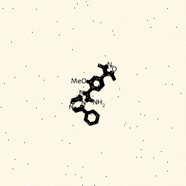 COc1cc(-c2c(C)noc2C)ccc1-c1nc2cncc(C3CCCCC3)n2c1N